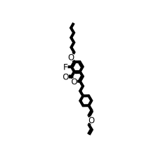 C=CCO/C=C/C1CCC(CCc2cc3ccc(OCCCCCCC)c(F)c3c(=O)o2)CC1